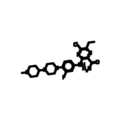 CCc1nc(C(N)=O)c(Nc2ccc(N3CCN(C4CCN(C)CC4)CC3)c(F)c2)nc1Cl